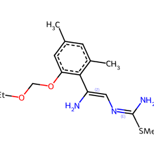 CCOCOc1cc(C)cc(C)c1/C(N)=C/N=C(\N)SC